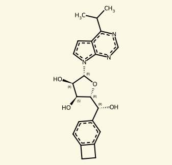 CC(C)c1ncnc2c1ccn2[C@@H]1O[C@H]([C@H](O)c2ccc3c(c2)CC3)[C@@H](O)[C@H]1O